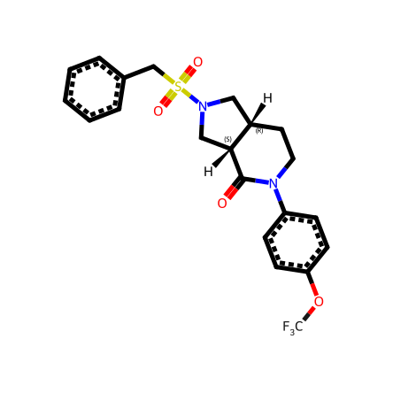 O=C1[C@@H]2CN(S(=O)(=O)Cc3ccccc3)C[C@@H]2CCN1c1ccc(OC(F)(F)F)cc1